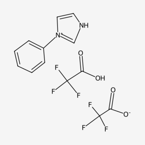 O=C(O)C(F)(F)F.O=C([O-])C(F)(F)F.c1ccc(-[n+]2cc[nH]c2)cc1